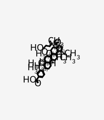 CC(C)[C@@H]1CC[C@]2(C(=O)N(C)CCC(=O)O)CC[C@]3(C)[C@H](CC[C@@H]4[C@@]5(C)CC[C@H](c6ccc(C(=O)O)cc6)C(C)(C)[C@@H]5CC[C@]43C)[C@@H]12